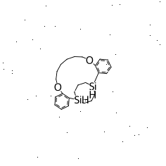 c1ccc2c(c1)OCCCCCCOc1ccccc1[SiH]1CCC[SiH]2CCC1